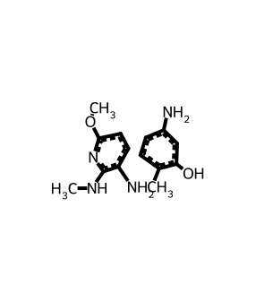 CNc1nc(OC)ccc1N.Cc1ccc(N)cc1O